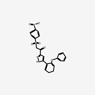 O=C(CS(=O)(=O)c1ccc([N+](=O)[O-])cc1)c1cc(C2=CCCC=C2Oc2ccccc2)[nH]n1